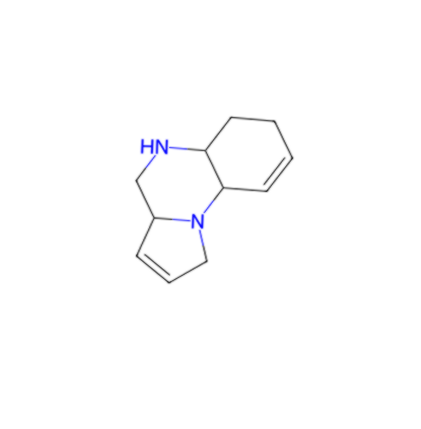 C1=CC2C(CC1)NCC1C=CCN12